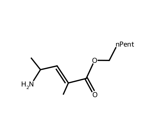 CCCCCCOC(=O)C(C)=CC(C)N